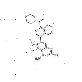 CC1COc2c1c(-c1ccc(C(=O)N3CCOCC3)c3ccccc13)cc1nc(N)nc(N)c21